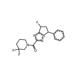 O=C(c1nc2n(n1)C(c1ccccc1)CC2F)N1CCCC(F)(F)C1